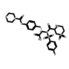 O=C(O)[C@H](Cc1ccc(OC(=O)N2CCOCC2)cc1)N(C(=O)C1CS(=O)(=O)CCN1)S(=O)(=O)c1ccc(F)cc1